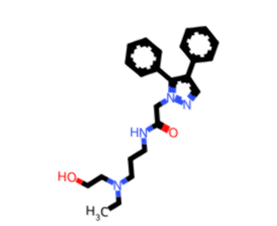 CCN(CCO)CCCNC(=O)Cn1ncc(-c2ccccc2)c1-c1ccccc1